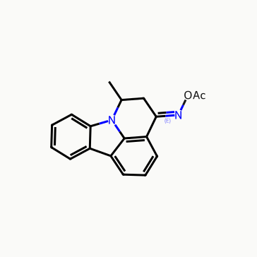 CC(=O)O/N=C1\CC(C)n2c3ccccc3c3cccc1c32